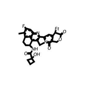 CCC1C(=O)OCc2c1cc1n(c2=O)Cc2c-1nc1cc(F)c(C)c3c1c2C(NC(=O)C1(O)CCC1)CC3